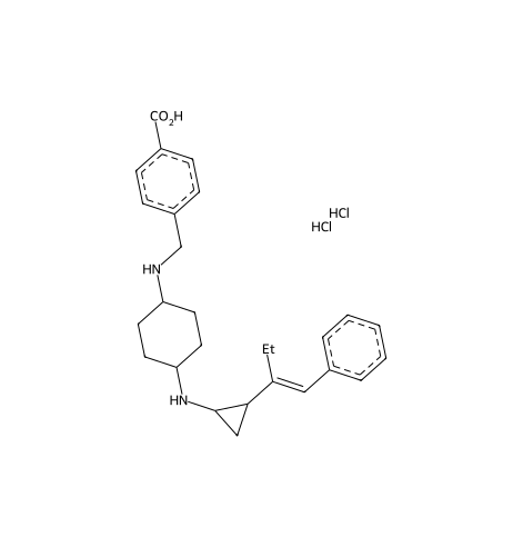 CC/C(=C\c1ccccc1)C1CC1NC1CCC(NCc2ccc(C(=O)O)cc2)CC1.Cl.Cl